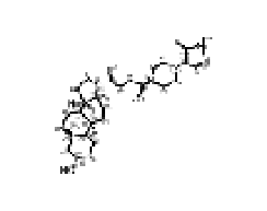 Cc1c(N2CCN(C(=O)CCC(C)[C@H]3CC[C@H]4[C@@H]5CC=C6C[C@@H](O)CC[C@]6(C)[C@H]5CC[C@]34C)CC2)cnn1C